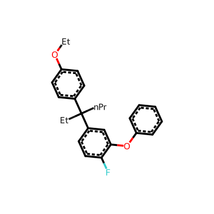 CCCC(CC)(c1ccc(OCC)cc1)c1ccc(F)c(Oc2ccccc2)c1